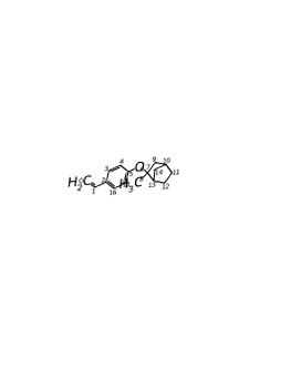 C=Cc1ccc(OC2(C)CC3CCC2C3)cc1